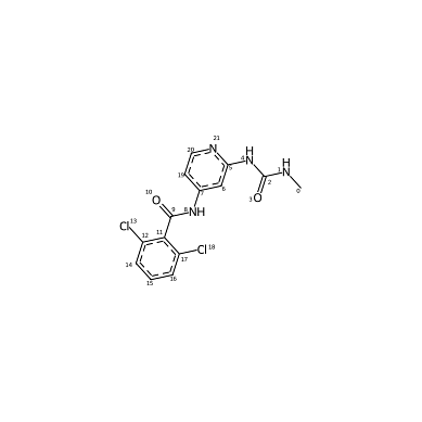 CNC(=O)Nc1cc(NC(=O)c2c(Cl)cccc2Cl)ccn1